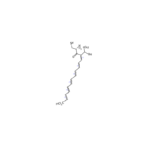 CCCCCCCCC(O)/C(=C/C=C/C=C/C=C/C=C/C=C/C(=O)O)C(=O)C(N)CS